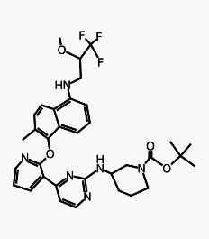 COC(CNc1cccc2c(Oc3ncccc3-c3ccnc(NC4CCCN(C(=O)OC(C)(C)C)C4)n3)c(C)ccc12)C(F)(F)F